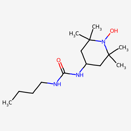 CCCCNC(=O)NC1CC(C)(C)N(O)C(C)(C)C1